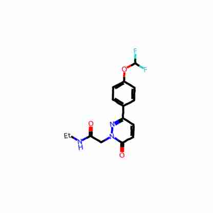 CCNC(=O)Cn1nc(-c2ccc(OC(F)F)cc2)ccc1=O